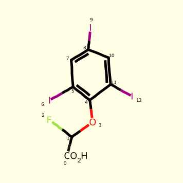 O=C(O)C(F)Oc1c(I)cc(I)cc1I